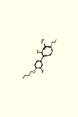 CCCCOc1ccc(-c2ccc(CCC)c(F)c2F)cc1F